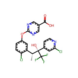 C[C@H](c1cc(Oc2ncc(C(=O)O)cn2)ccc1Cl)[C@@](O)(c1ccnc(Cl)c1)C(F)(F)F